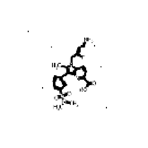 Cc1c(-c2cccc(S(=O)(=O)N(C)C)c2)c2nc(C(=O)O)ccc2n1CC(F)=CCN